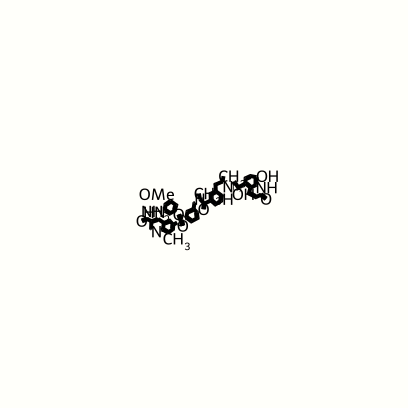 COc1cccc(Nc2c(C(N)=O)cnc3c(C)cc(S(=O)(=O)c4cccc(CN(C)C(=O)c5cccc(CC(C)NC[C@@H](O)c6ccc(O)c7[nH]c(=O)ccc67)c5)c4)cc23)c1